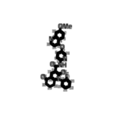 COc1ccc2c(Oc3ccc(NC(=O)c4cc5c(n(-c6ccccc6F)c4=O)CCCC5=O)nc3)ccnc2c1